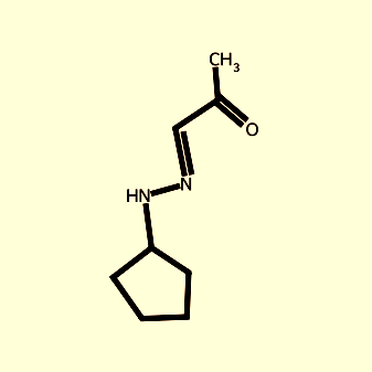 CC(=O)C=NNC1CCCC1